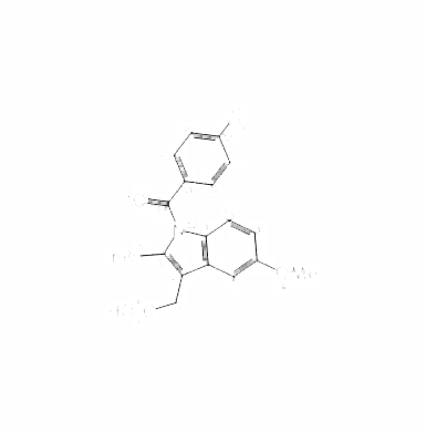 CCCc1c(CC(=O)O)c2cc(OC)ccc2n1C(=O)c1ccc(Cl)cc1